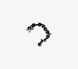 O=C(/C=C/c1cccnc1)NCCCCC1CCN(C(=O)c2ccc(N3CCC(N4CCN(Cc5ccc(C#Cc6ccc7c(c6)C(=O)N(C6CCC(=O)NC6=O)C7)cc5)CC4)CC3)nn2)CC1